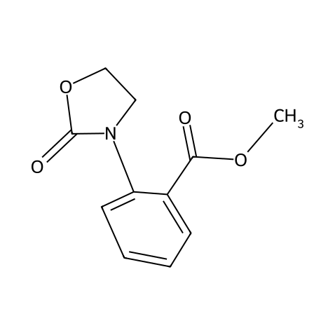 COC(=O)c1ccccc1N1CCOC1=O